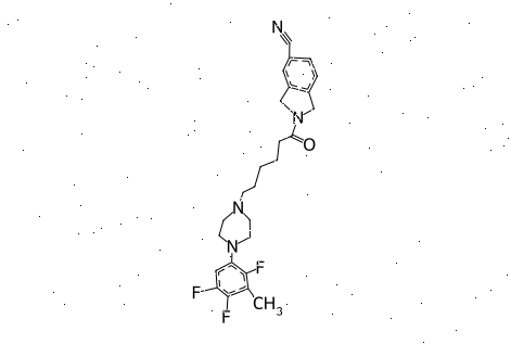 Cc1c(F)c(F)cc(N2CCN(CCCCCC(=O)N3Cc4ccc(C#N)cc4C3)CC2)c1F